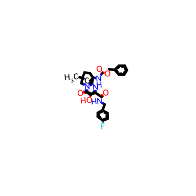 CC12CCC(NC(=O)OCc3ccccc3)(CC1)c1nc(C(=O)NCc3ccc(F)cc3)c(O)c(=O)n1C2